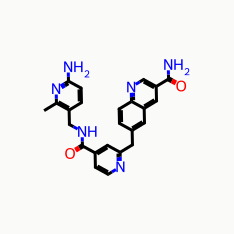 Cc1nc(N)ccc1CNC(=O)c1ccnc(Cc2ccc3ncc(C(N)=O)cc3c2)c1